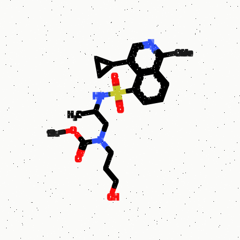 COc1ncc(C2CC2)c2c(S(=O)(=O)NC(C)CN(CCCO)C(=O)OC(C)(C)C)cccc12